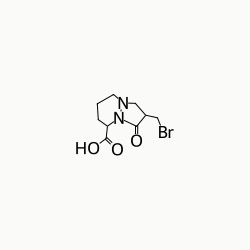 O=C(O)C1CCCN2CC(CBr)C(=O)N12